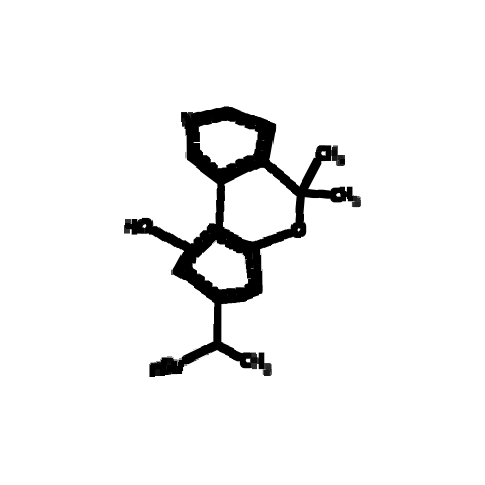 CCCCC(C)c1cc(O)c2c(c1)OC(C)(C)c1ccncc1-2